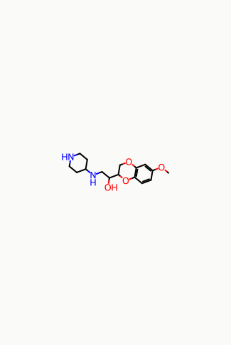 COc1ccc2c(c1)OCC(C(O)CNC1CCNCC1)O2